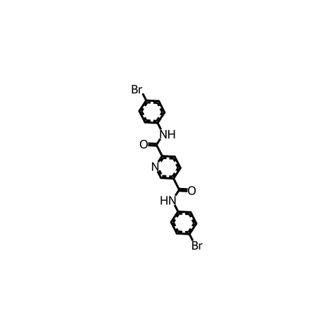 O=C(Nc1ccc(Br)cc1)c1ccc(C(=O)Nc2ccc(Br)cc2)nc1